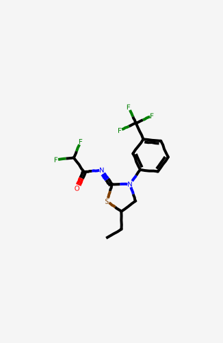 CCC1CN(c2cccc(C(F)(F)F)c2)C(=NC(=O)C(F)F)S1